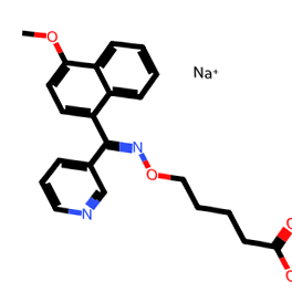 COc1ccc(C(=NOCCCCC(=O)[O-])c2cccnc2)c2ccccc12.[Na+]